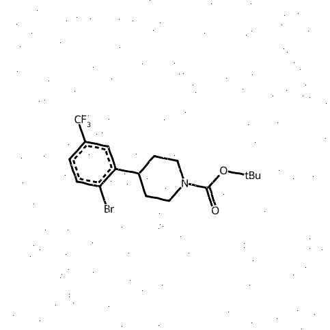 CC(C)(C)OC(=O)N1CCC(c2cc(C(F)(F)F)ccc2Br)CC1